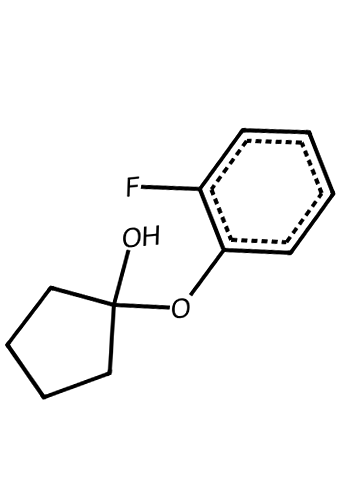 OC1(Oc2ccccc2F)CCCC1